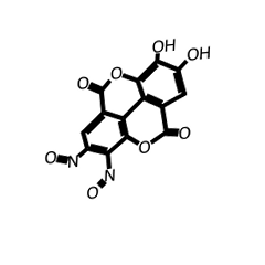 O=Nc1cc2c(=O)oc3c(O)c(O)cc4c(=O)oc(c1N=O)c2c34